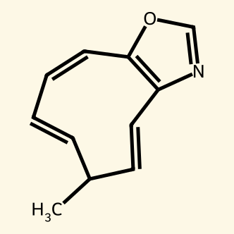 CC1/C=C/C=C\c2ocnc2/C=C/1